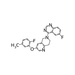 Cc1ccc(F)c(Oc2cnc3c(c2)CN(c2ncnc4ccc(F)cc24)CC3)c1